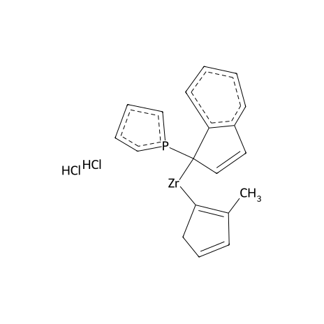 CC1=[C]([Zr][C]2(p3cccc3)C=Cc3ccccc32)CC=C1.Cl.Cl